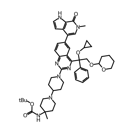 Cn1cc(-c2ccc3nc(N4CCC(N5CCC(C)(NC(=O)OC(C)(C)C)CC5)CC4)nc(C(COC4CCCCO4)(OC4CC4)c4ccccc4)c3c2)c2cc[nH]c2c1=O